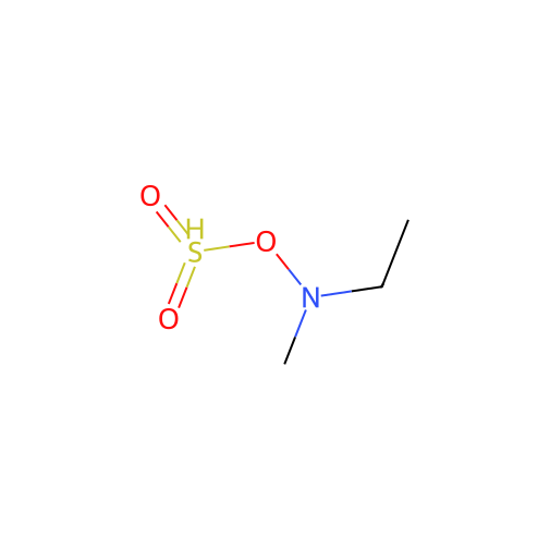 CCN(C)O[SH](=O)=O